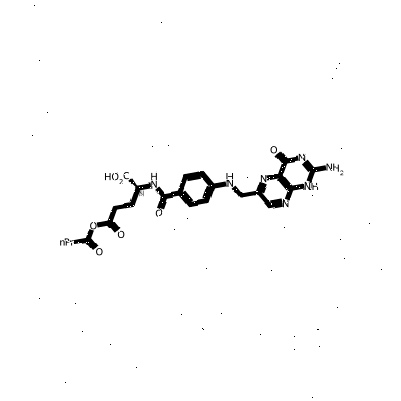 CCCC(=O)OC(=O)CC[C@H](NC(=O)c1ccc(NCc2cnc3[nH]c(N)nc(=O)c3n2)cc1)C(=O)O